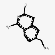 NCc1ccc2c(N)nc(Cl)cc2c1